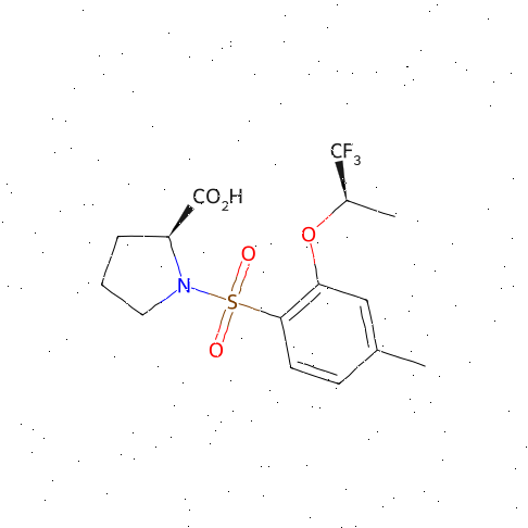 Cc1ccc(S(=O)(=O)N2CCC[C@H]2C(=O)O)c(O[C@H](C)C(F)(F)F)c1